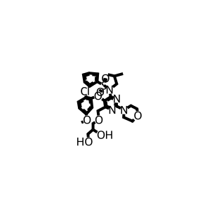 COc1ccc(Cl)c(Oc2c(COCC(O)CO)nc(N3CCOCC3)nc2N(CC(C)C)S(=O)(=O)c2ccccc2)c1